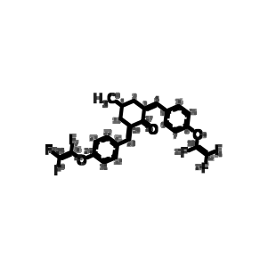 CC1CC(=Cc2ccc(OC(F)=C(F)F)cc2)C(=O)C(=Cc2ccc(OC(F)=C(F)F)cc2)C1